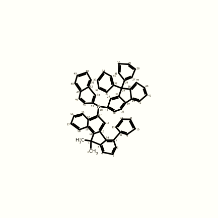 CC1(C)c2cccc(-c3ccccc3)c2-c2cc(N(c3ccc4c(c3)C(c3ccccc3)(c3ccccc3)c3ccccc3-4)c3ccc4ccccc4c3)c3ccccc3c21